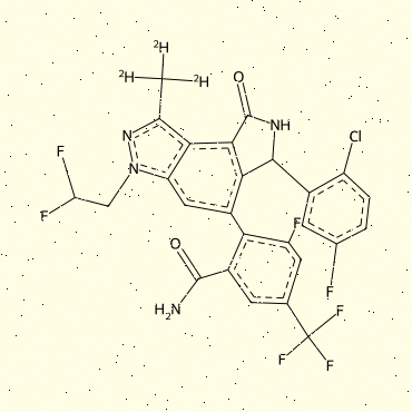 [2H]C([2H])([2H])c1nn(CC(F)F)c2cc(-c3c(F)cc(C(F)(F)F)cc3C(N)=O)c3c(c12)C(=O)NC3c1cc(F)ccc1Cl